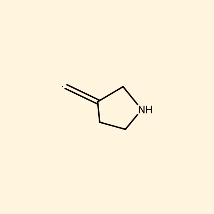 [CH]=C1CCNC1